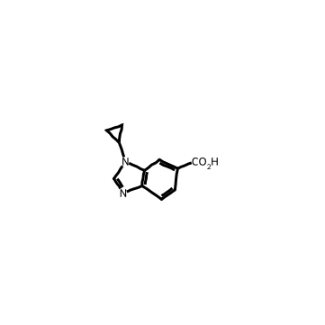 O=C(O)c1ccc2ncn(C3CC3)c2c1